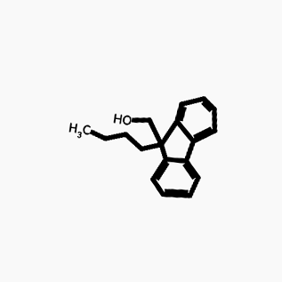 CCCCC1(CO)c2ccccc2-c2ccccc21